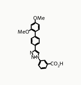 COc1ccc(-c2ccc(-c3cn(-c4cccc(C(=O)O)c4)nn3)cc2)c(OC)c1